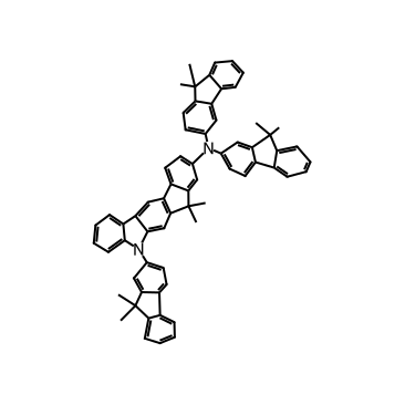 CC1(C)c2ccccc2-c2cc(N(c3ccc4c(c3)C(C)(C)c3ccccc3-4)c3ccc4c(c3)C(C)(C)c3cc5c(cc3-4)c3ccccc3n5-c3ccc4c(c3)C(C)(C)c3ccccc3-4)ccc21